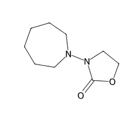 O=C1OCCN1N1CCCCCC1